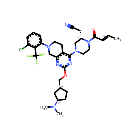 C/C=C/C(=O)N1CCN(c2nc(OC[C@H]3CC[C@@H](N(C)C)C3)nc3c2CCN(c2cccc(Cl)c2C(F)(F)F)C3)C[C@@H]1CC#N